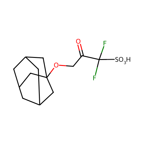 O=C(COC12CC3CC(CC(C3)C1)C2)C(F)(F)S(=O)(=O)O